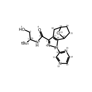 CC(C)(C)[C@@H](CO)NC(=O)c1nn(-c2cnccn2)c2c1CC1CCC2O1